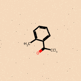 [CH2]c1ccccc1C(=O)C(Cl)(Cl)Cl